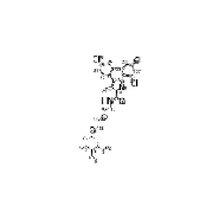 C=CCC(CC)C(C)CCOCCOCCNC(=O)c1nn(-c2ccc(Cl)cc2Cl)c(-c2ccc(Cl)cc2)c1C